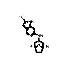 CN1[C@@H]2CC[C@H]1CC(Nc1cc3[nH]c(C#N)cc3cn1)C2